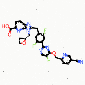 N#Cc1ccc(COc2nc(-c3cc(F)c(Cc4nc5ccc(C(=O)O)nc5n4C[C@@H]4CCO4)cc3F)ncc2F)nc1